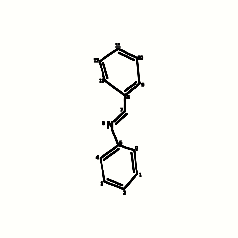 [c]1ccccc1N=Cc1ccccc1